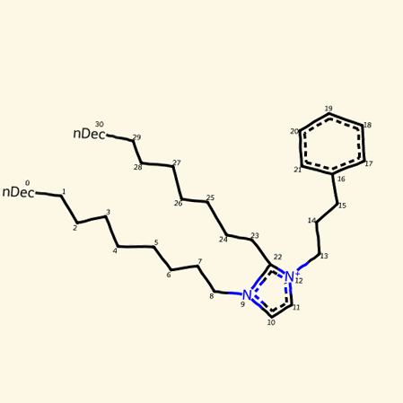 CCCCCCCCCCCCCCCCCCn1cc[n+](CCCc2ccccc2)c1CCCCCCCCCCCCCCCCC